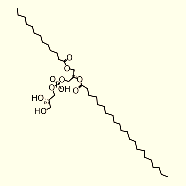 CCCCCCCCCCCCCCCCCCCCCC(=O)O[C@H](COC(=O)CCCCCCCCCCCC)COP(=O)(O)OC[C@@H](O)CO